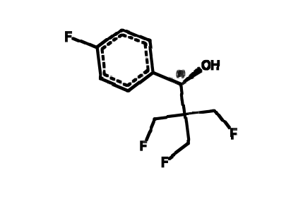 O[C@H](c1ccc(F)cc1)C(CF)(CF)CF